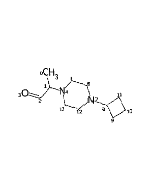 CC(C=O)N1CCN(C2CCC2)CC1